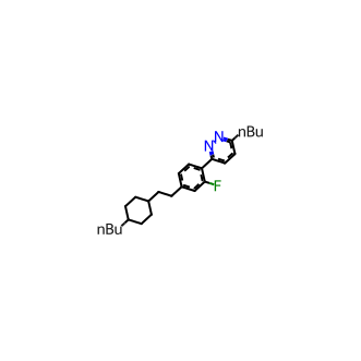 CCCCc1ccc(-c2ccc(CCC3CCC(CCCC)CC3)cc2F)nn1